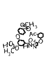 CC(=O)c1cccc(Oc2cnc(NC(=O)c3cc(Oc4ccc(S(C)(=O)=O)cc4)cc(O[C@@H](C)CO)c3)s2)c1